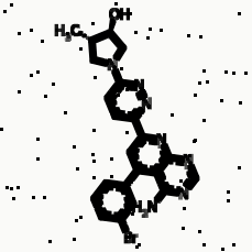 C[C@H]1CN(c2ccc(-c3cc(-c4cccc(Br)c4)c4c(N)ncnc4n3)nn2)C[C@@H]1O